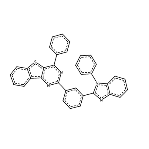 c1ccc(-c2nc(-c3cccc(-c4nc5ccccc5n4-c4ccccc4)c3)nc3c2sc2ccccc23)cc1